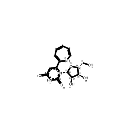 O=c1cc(C2=CC=CC=CN2)n([C@@H]2O[C@H](CO)[C@@H](O)[C@H]2O)c(=O)[nH]1